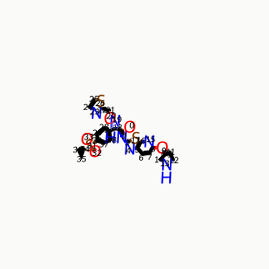 O=C(Nc1nc2ccc(O[C@@H]3CCNC3)nc2s1)/C(=N/OCc1nccs1)c1ccc(S(=O)(=O)C2CC2)cc1